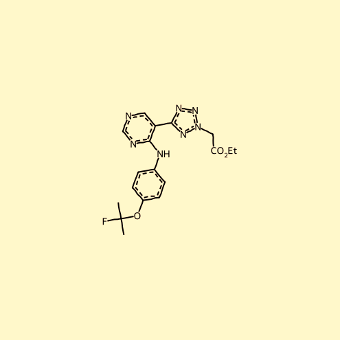 CCOC(=O)Cn1nnc(-c2cncnc2Nc2ccc(OC(C)(C)F)cc2)n1